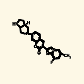 Cc1cc(F)c2nc(-c3cc4ccc(N5CCC6NCC[C@H]6C5)cc4oc3=O)cn2c1